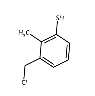 Cc1c(S)cccc1CCl